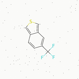 FC(F)(F)c1ccc2[c]s[c]c2c1